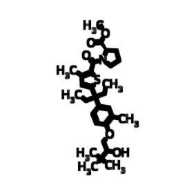 CCC(CC)(c1ccc(OCC(O)C(C)(C)C)c(C)c1)c1cc(C)c(C(=O)N2CCC[C@@H]2C(=O)OC)s1